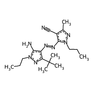 CCCn1nc(C(C)(C)C)c(N=Nc2c(C#N)c(C)nn2CCC)c1N